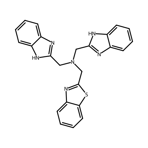 c1ccc2[nH]c(CN(Cc3nc4ccccc4[nH]3)Cc3nc4ccccc4s3)nc2c1